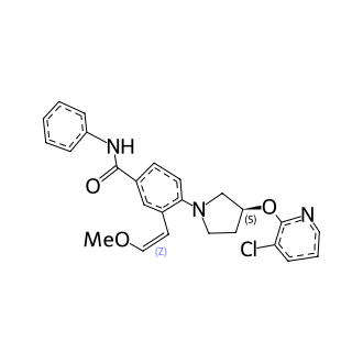 CO/C=C\c1cc(C(=O)Nc2ccccc2)ccc1N1CC[C@H](Oc2ncccc2Cl)C1